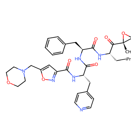 CC(C)C[C@H](NC(=O)[C@H](Cc1ccccc1)NC(=O)[C@H](Cc1ccncc1)NC(=O)c1cc(CN2CCOCC2)on1)C(=O)[C@@]1(C)CO1